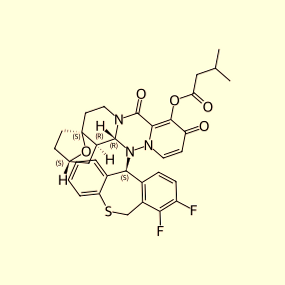 CC(C)CC(=O)Oc1c2n(ccc1=O)N([C@@H]1c3ccccc3SCc3c1ccc(F)c3F)[C@@H]1[C@H]3C[C@@H]4CC[C@@]3(CCN1C2=O)O4